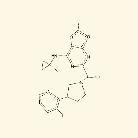 Cc1cc2c(NC3(C)CC3)nc(C(=O)N3CCC(c4ncccc4F)C3)nc2o1